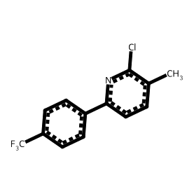 Cc1ccc(-c2ccc(C(F)(F)F)cc2)nc1Cl